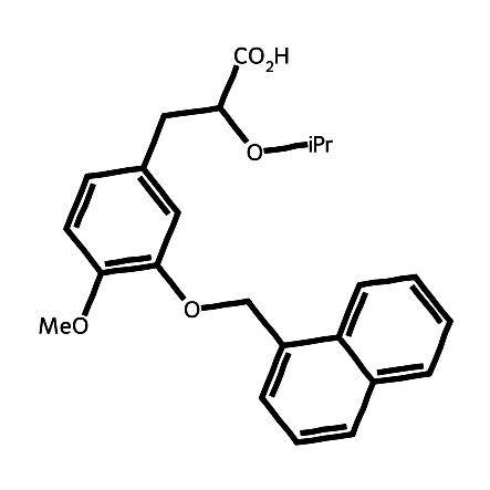 COc1ccc(CC(OC(C)C)C(=O)O)cc1OCc1cccc2ccccc12